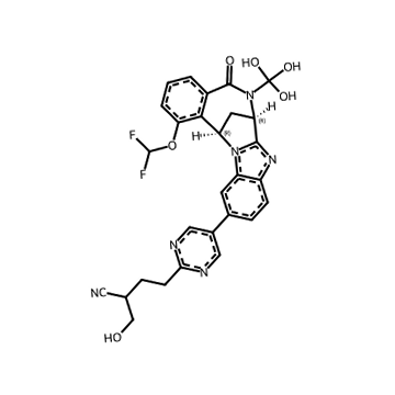 N#CC(CO)CCc1ncc(-c2ccc3nc4n(c3c2)[C@@H]2C[C@H]4N(C(O)(O)O)C(=O)c3cccc(OC(F)F)c32)cn1